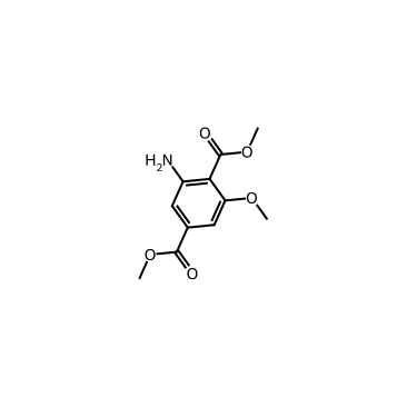 COC(=O)c1cc(N)c(C(=O)OC)c(OC)c1